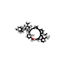 CCn1c(-c2cccnc2[C@H](C)OC)c2c3cc(ccc31)-c1csc(n1)C[C@H](NC(=O)[C@H](C(C)C)N(C)C(=O)N1C[C@@H]3CN(C)CC[C@@H]31)C(=O)N1CCC[C@](C=O)(COCC(C)(C)C2)N1